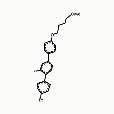 CCc1ccc(-c2ccc(-c3ccc(OCCCCOC)cc3)cc2F)cc1